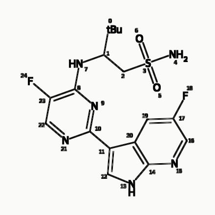 CC(C)(C)C(CS(N)(=O)=O)Nc1nc(-c2c[nH]c3ncc(F)cc23)ncc1F